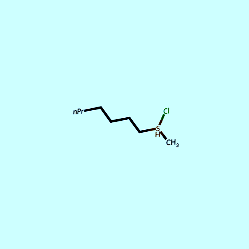 CCCCCCC[SH](C)Cl